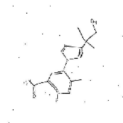 Cc1cc(F)c(C(N)=O)cc1-n1cnc(C(C)(C)CO)c1